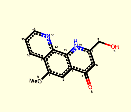 COc1cc2c(=O)cc(CO)[nH]c2c2ncccc12